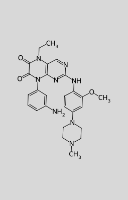 CCn1c(=O)c(=O)n(-c2cccc(N)c2)c2nc(Nc3ccc(N4CCN(C)CC4)cc3OC)ncc21